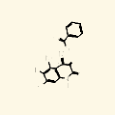 O=C1Nc2cc(C(F)(F)F)c(F)c([N+](=O)[O-])c2C(=NOC(=O)c2ccccc2)C1=O